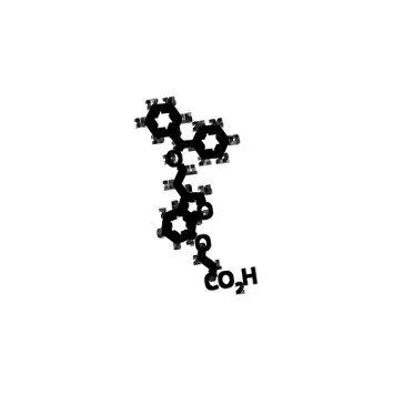 O=C(O)CCOc1cccc2c(CCOC(c3ccccc3)c3ccccc3)coc12